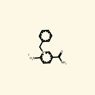 NC(=O)c1ccc(N)[n+](Cc2ccccc2)c1.[I-]